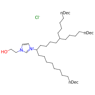 CCCCCCCCCCCCCCCCCCC(CCCCC(CCCCCCCCCCCCCC)CCCCCCCCCCCCCC)[n+]1ccn(CCO)c1.[Cl-]